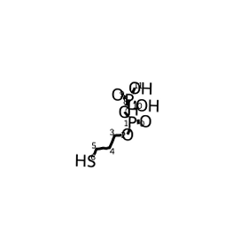 O=[PH](OCCCS)OP(=O)(O)O